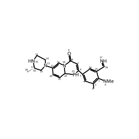 CNc1c(C)cc(C2=CC(=O)N3C=C(N4CCN[C@@H](C)C4)C=CC3P2)cc1C=N